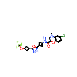 CN1CC(C(=O)NC23CC(c4nnc([C@H]5C[C@@H](OC(F)(F)F)C5)o4)(C2)C3)Oc2ccc(Cl)cc21